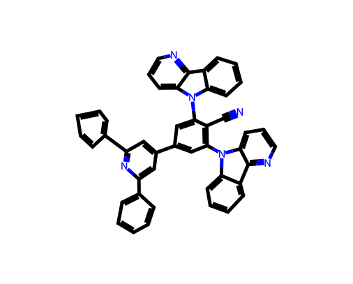 N#Cc1c(-n2c3ccccc3c3ncccc32)cc(-c2cc(-c3ccccc3)nc(-c3ccccc3)c2)cc1-n1c2ccccc2c2ncccc21